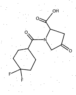 O=C1CC(C(=O)O)N(C(=O)C2CCC(F)(F)CC2)C1